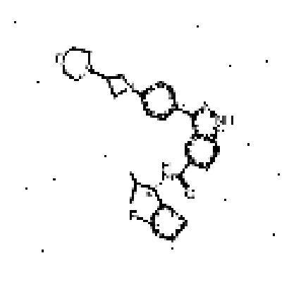 CC(C)[C@H](NC(=O)c1ccc2[nH]nc(-c3ccc(N4CC(N5CCOCC5)C4)cc3)c2c1)c1ncccc1F